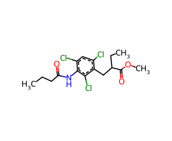 CCCC(=O)Nc1c(Cl)cc(Cl)c(CC(CC)C(=O)OC)c1Cl